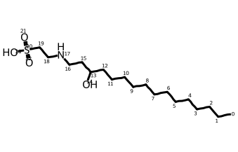 CCCCCCCCCCCCCC(O)CCNCCS(=O)(=O)O